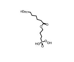 CCCCCCCCCCCCCCCC(=O)OCCCCP(=O)(O)OO